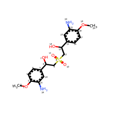 COc1ccc(C(O)CS(=O)(=O)CC(O)c2ccc(OC)c(N)c2)cc1N